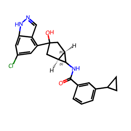 O=C(NC1[C@H]2CC(O)(c3cc(Cl)cc4[nH]ncc34)C[C@@H]12)c1cccc(C2CC2)c1